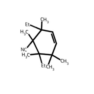 CCC1(C)C=CC(C)(C)C(C)(CC)C1(C)C#N